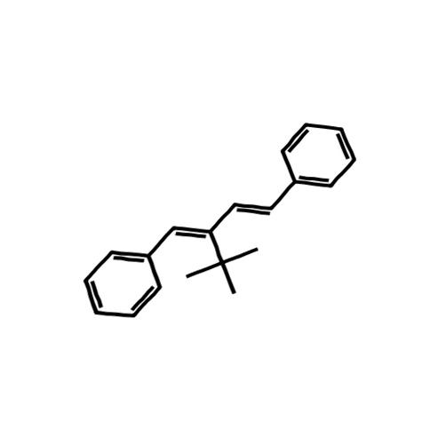 CC(C)(C)C(C=Cc1ccccc1)=Cc1ccccc1